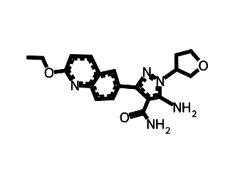 CCOc1ccc2cc(-c3nn(C4CCOC4)c(N)c3C(N)=O)ccc2n1